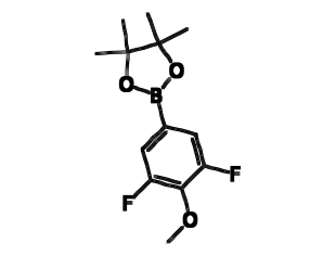 COc1c(F)cc(B2OC(C)(C)C(C)(C)O2)cc1F